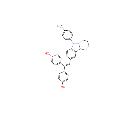 Cc1ccc(N2c3ccc(C=C(c4ccc(O)cc4)c4ccc(O)cc4)cc3C3CCCCC32)cc1